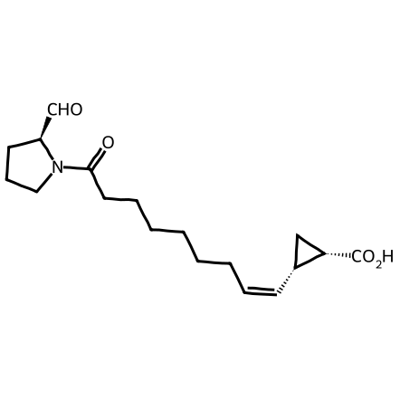 O=C[C@@H]1CCCN1C(=O)CCCCCC/C=C\[C@@H]1C[C@@H]1C(=O)O